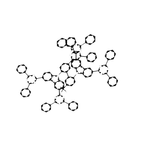 FC(F)(F)c1ccc(-n2c3ccc(-c4nc(-c5ccccc5)nc(-c5ccccc5)n4)cc3c3cc(-c4nc(-c5ccccc5)nc(-c5ccccc5)n4)ccc32)c(-c2cc(-c3nc(-c4ccccc4)nc(-c4ccccc4)n3)ccc2-n2c3ccc(-c4nc(-c5ccccc5)nc(-c5ccccc5)n4)cc3c3cc(-c4nc(-c5ccccc5)nc(-c5ccccc5)n4)ccc32)c1